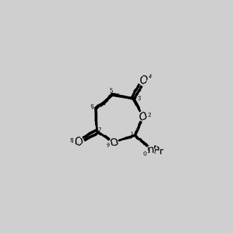 CCCC1OC(=O)CCC(=O)O1